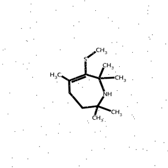 CSC1=C(C)CCC(C)(C)NC1(C)C